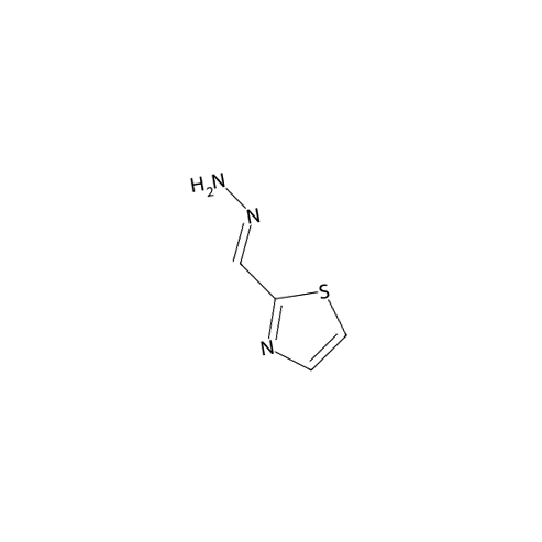 NN=Cc1nccs1